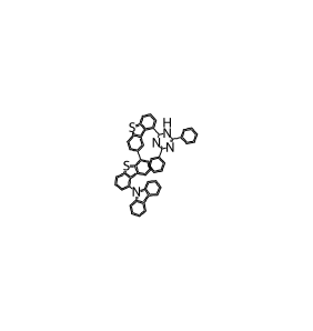 c1ccc(C2=NC(c3cccc4sc5ccc(-c6cccc7c6sc6cccc(-n8c9ccccc9c9ccccc98)c67)cc5c34)NC(c3ccccc3)=N2)cc1